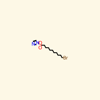 O=C(CCCCCCCCCCBr)On1ccnc1